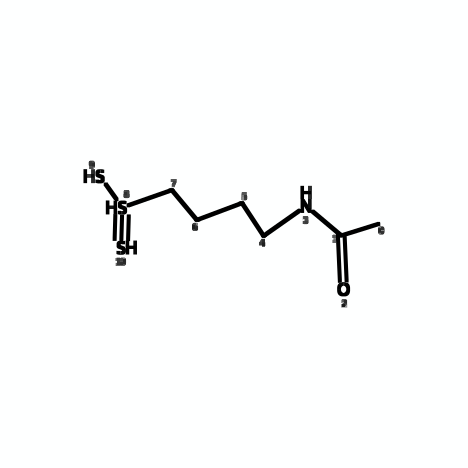 CC(=O)NCCCC[SH](S)#[SH]